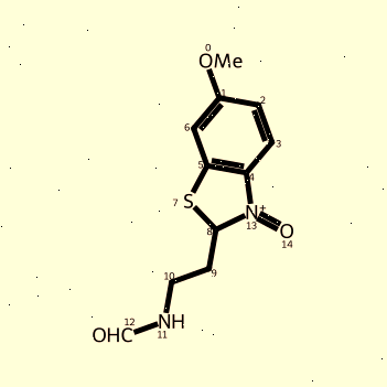 COc1ccc2c(c1)SC(CCNC=O)[N+]2=O